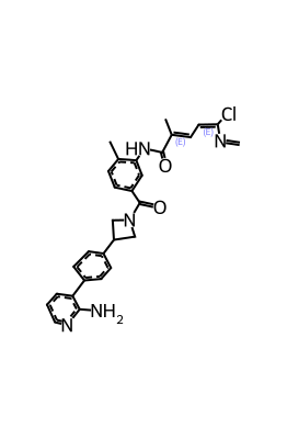 C=N/C(Cl)=C\C=C(/C)C(=O)Nc1cc(C(=O)N2CC(c3ccc(-c4cccnc4N)cc3)C2)ccc1C